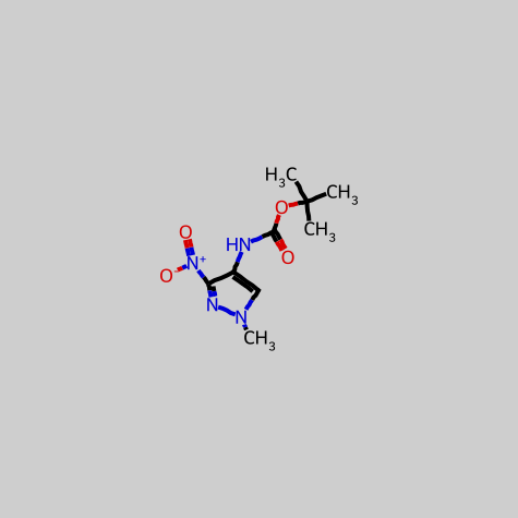 Cn1cc(NC(=O)OC(C)(C)C)c([N+](=O)[O-])n1